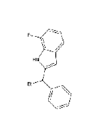 [CH2]CC(c1ccccc1)c1cc2cccc(F)c2[nH]1